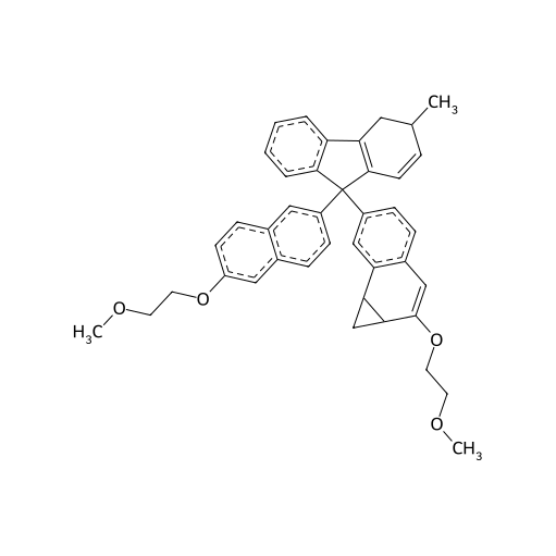 COCCOC1=Cc2ccc(C3(c4ccc5cc(OCCOC)ccc5c4)C4=C(CC(C)C=C4)c4ccccc43)cc2C2CC12